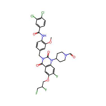 COc1cc(Cn2c(=O)c3cc(OCC(F)CF)c(F)cc3n(C3CCN(C=O)CC3)c2=O)ccc1NC(=O)c1ccc(Cl)c(Cl)c1